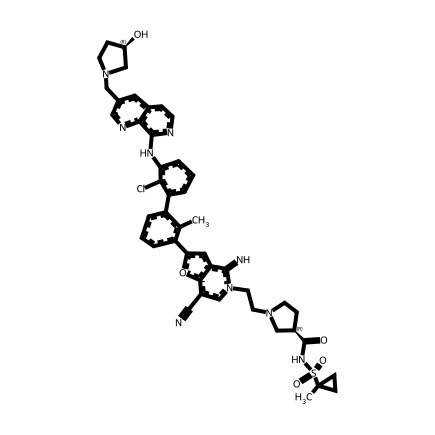 Cc1c(-c2cc3c(=N)n(CCN4CC[C@@H](C(=O)NS(=O)(=O)C5(C)CC5)C4)cc(C#N)c3o2)cccc1-c1cccc(Nc2nccc3cc(CN4CC[C@@H](O)C4)cnc23)c1Cl